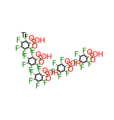 O=S(=O)(O)c1c(F)c(F)c(F)c(F)c1F.O=S(=O)(O)c1c(F)c(F)c(F)c(F)c1F.O=S(=O)(O)c1c(F)c(F)c(F)c(F)c1F.O=S(=O)(O)c1c(F)c(F)c(F)c(F)c1F.O=S(=O)(O)c1c(F)c(F)c(F)c(F)c1F.[Ti]